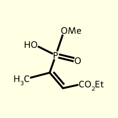 CCOC(=O)/C=C(/C)P(=O)(O)OC